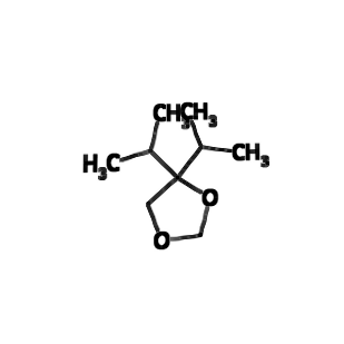 CC(C)C1(C(C)C)COCO1